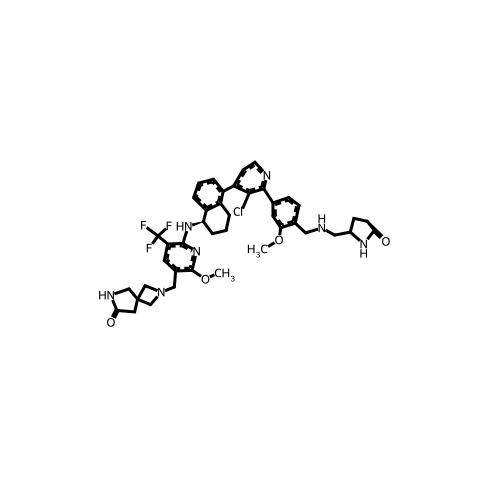 COc1cc(-c2nccc(-c3cccc4c3CCC[C@H]4Nc3nc(OC)c(CN4CC5(CNC(=O)C5)C4)cc3C(F)(F)F)c2Cl)ccc1CNCC1CCC(=O)N1